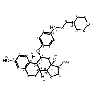 C[C@]12C[C@H](Oc3ccc(NCCN4CCOCC4)cc3)[C@@H]3c4ccc(O)cc4CC[C@H]3[C@@H]1CC[C@@H]2O